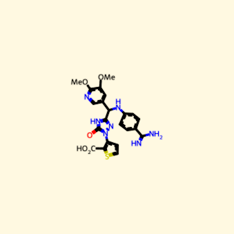 COc1cc(C(Nc2ccc(C(=N)N)cc2)c2nn(-c3ccsc3C(=O)O)c(=O)[nH]2)cnc1OC